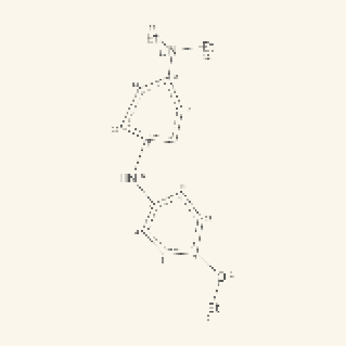 CCOc1ccc(Nc2ccc(N(CC)CC)cc2)cc1